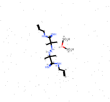 C=CCNC(=N)C(C)(C)/N=N/C(C)(C)C(=N)NCC=C.O=S(=O)(O)OS(=O)(=O)O